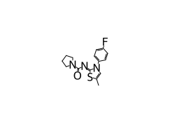 Cc1cn(-c2ccc(F)cc2)c(=NC(=O)N2CCCC2)s1